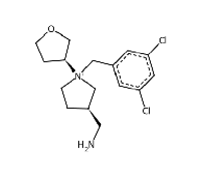 NC[C@H]1CC[N+](Cc2cc(Cl)cc(Cl)c2)([C@H]2CCOC2)C1